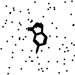 CC1=CC2NC#CC2C=C1